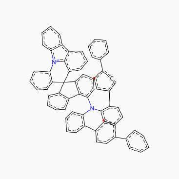 c1ccc(-c2ccc(-c3ccccc3N(c3ccccc3-c3ccc(-c4ccccc4)cc3)c3cccc4c3-c3ccccc3C43c4ccccc4-n4c5ccccc5c5cccc3c54)cc2)cc1